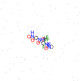 C[C@H](Oc1cc(-n2nc3n(c2=O)CCCC3)c(F)cc1C(=O)Nc1ccc2c(c1)OCC(=O)N2)C(F)(F)F